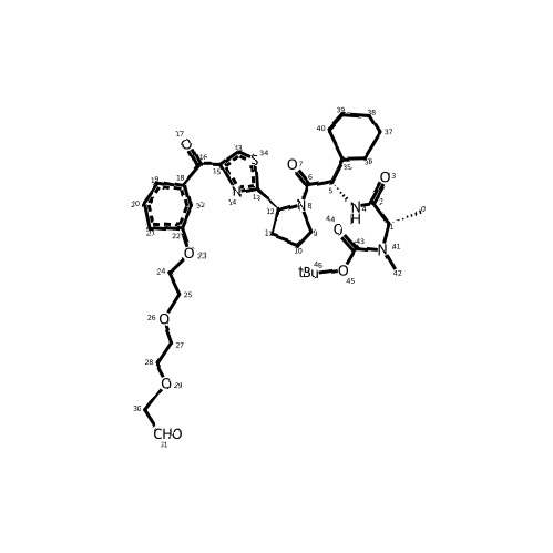 C[C@@H](C(=O)N[C@H](C(=O)N1CCC[C@H]1c1nc(C(=O)c2cccc(OCCOCCOCC=O)c2)cs1)C1CCCCC1)N(C)C(=O)OC(C)(C)C